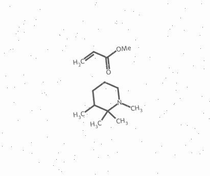 C=CC(=O)OC.CC1CCCN(C)C1(C)C